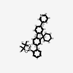 CC1(C)OB(c2ccccc2-c2ccc3c(c2)C2(CCCCC2)c2cc(-c4cccnc4)ccc2-3)OC1(C)C